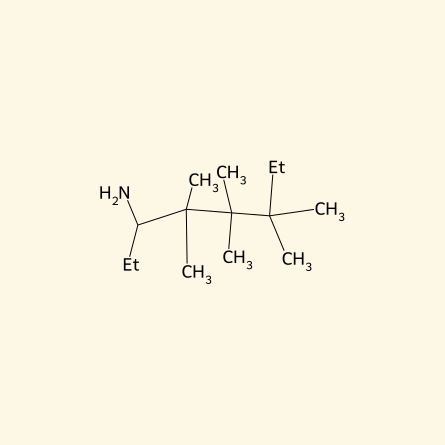 CCC(N)C(C)(C)C(C)(C)C(C)(C)CC